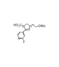 COCC[C@@H]1C[C@H](C(=O)O)[C@H](c2ccnc(F)c2)O1